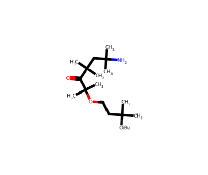 CC(C)COC(C)(C)CCOC(C)(C)C(=O)C(C)(C)CC(C)(C)N